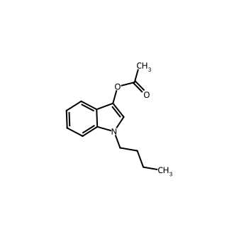 CCCCn1cc(OC(C)=O)c2ccccc21